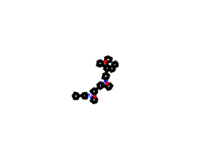 c1ccc(-c2ccc(-n3c4ccccc4c4cc(-c5ccc6c(c5)c5ccccc5n6-c5ccc(-c6cc7c8ccccc8c8ccccc8c7c7c6ccc6ccccc67)cc5)ccc43)cc2)cc1